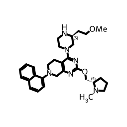 COCC[C@H]1CN(c2nc(OC[C@@H]3CCCN3C)nc3c2CCN(c2cccc4ccccc24)C3)CCN1